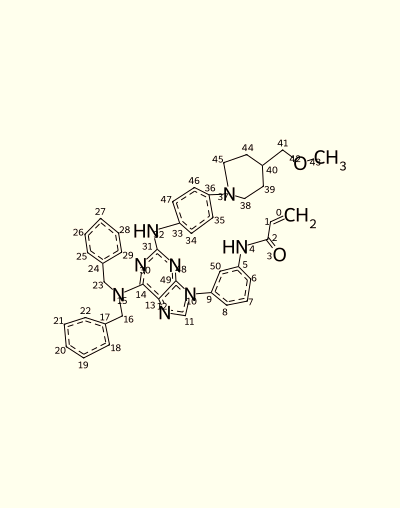 C=CC(=O)Nc1cccc(-n2cnc3c(N(Cc4ccccc4)Cc4ccccc4)nc(Nc4ccc(N5CCC(COC)CC5)cc4)nc32)c1